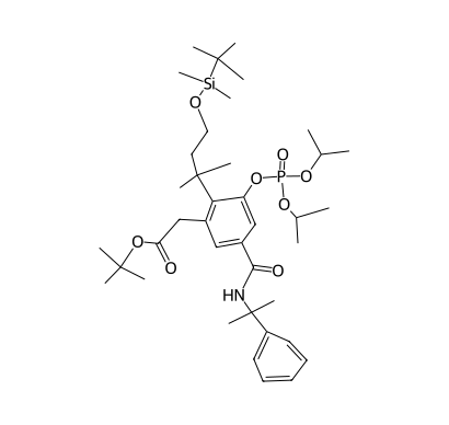 CC(C)OP(=O)(Oc1cc(C(=O)NC(C)(C)c2ccccc2)cc(CC(=O)OC(C)(C)C)c1C(C)(C)CCO[Si](C)(C)C(C)(C)C)OC(C)C